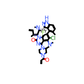 C=CC(=O)N1CCN2c3nc(=O)n(C(/C(=N\C)C(C)C)=C(\C)C=C)c4c(F)c(-c5c(C)ccc6[nH]ncc56)c(Cl)c(c34)N(C)CC2C1